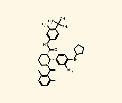 Bc1cc([C@H]2[C@@H](C(=O)Nc3ccc(C(B)(B)O)c(C(F)(F)F)c3)CCCN2C(=O)c2c(C)cccc2F)ccc1NC1CCCC1